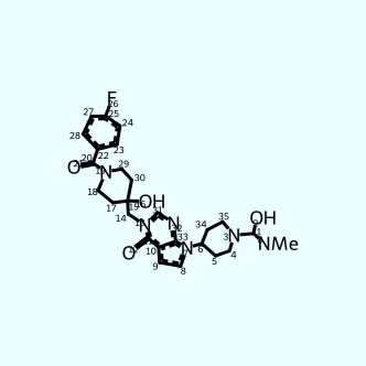 CNC(O)N1CCC(n2ccc3c(=O)n(CC4(O)CCN(C(=O)c5ccc(F)cc5)CC4)cnc32)CC1